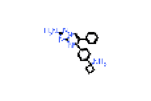 Nc1nc2nc(-c3ccc(C4(N)CCC4)cc3)c(-c3ccccc3)cn2n1